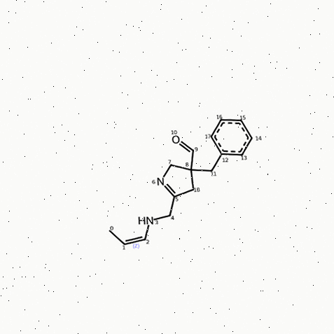 C/C=C\NCC1=NCC(C=O)(Cc2ccccc2)C1